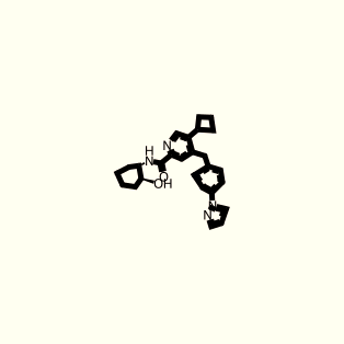 O=C(N[C@H]1CCCC[C@@H]1O)c1cc(Cc2ccc(-n3cccn3)cc2)c(C2CCC2)cn1